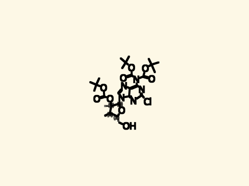 C[C@@H]1[C@@H](CO)O[C@@H](n2cnc3c(N(C(=O)OC(C)(C)C)C(=O)OC(C)(C)C)nc(Cl)nc32)[C@]1(C)OC(=O)OC(C)(C)C